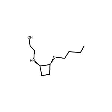 CCCCO[C@H]1CC[C@H]1NCCO